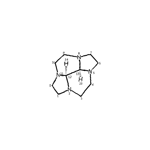 C1CN2CCN3CCN4CCN1[C@H]2[C@H]34